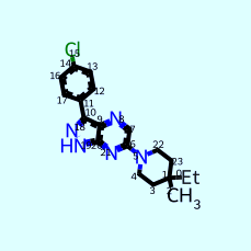 CCC1(C)CCN(c2cnc3c(-c4ccc(Cl)cc4)n[nH]c3n2)CC1